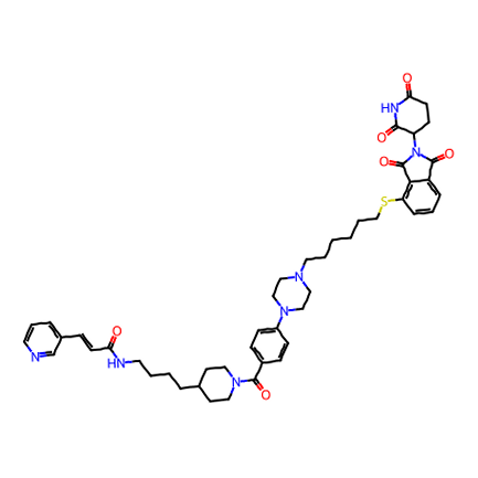 O=C(/C=C/c1cccnc1)NCCCCC1CCN(C(=O)c2ccc(N3CCN(CCCCCCSc4cccc5c4C(=O)N(C4CCC(=O)NC4=O)C5=O)CC3)cc2)CC1